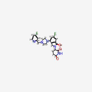 O=C1CCC(N2Cc3c(cc(F)cc3N3CCN(Cc4cc(F)ccn4)CC3)C2=O)C(=O)N1